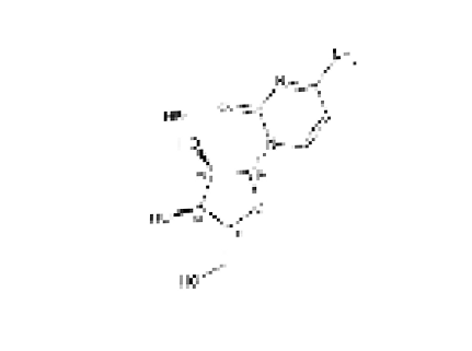 Br.Nc1ccn([C@@H]2O[C@H](CO)[C@@H](O)[C@H]2O)c(=O)n1